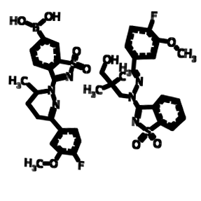 COc1cc(/C=N/N(CC(C)(C)CO)C2=NS(=O)(=O)c3ccccc32)ccc1F.COc1cc(C2=NN(C3=NS(=O)(=O)c4cc(B(O)O)ccc43)C(C)CC2)ccc1F